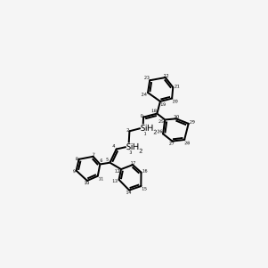 C([SiH2]C[SiH2]C=C(c1ccccc1)c1ccccc1)=C(c1ccccc1)c1ccccc1